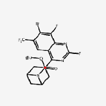 CC(C)(C)OC(=O)N1C2CC1CN(c1nc(F)nc3c(F)c(Br)c(C(F)(F)F)cc13)C2